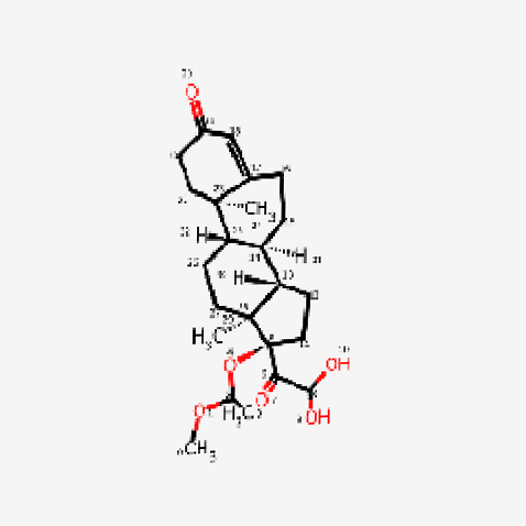 COC(C)O[C@]1(C(=O)C(O)O)CC[C@H]2[C@@H]3CCC4=CC(=O)CC[C@]4(C)[C@H]3CC[C@@]21C